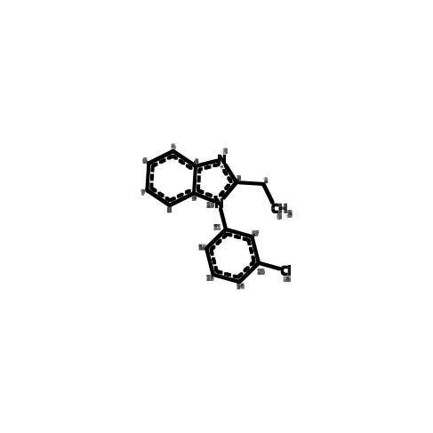 CCc1nc2ccccc2n1-c1cccc(Cl)c1